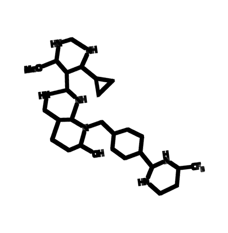 COC1NCNC(C2CC2)C1C1NCC2CCC(O)N(CC3CCC(C4NCCC(C(F)(F)F)N4)CC3)C2N1